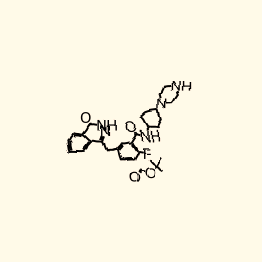 CC(C)(C)OC=O.O=C(NC1CCC(N2CCNCC2)CC1)c1cc(Cc2n[nH]c(=O)c3ccccc23)ccc1F